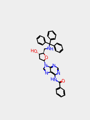 O=C(Nc1ncnc2c1ncn2[C@H]1C[C@H](O)[C@@H](CNC(c2ccccc2)(c2ccccc2)c2ccccc2)O1)c1ccccc1